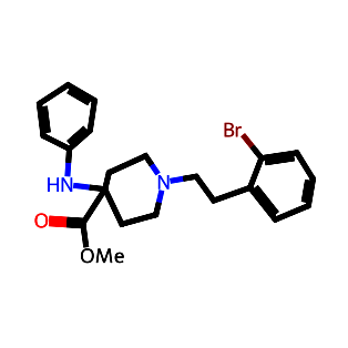 COC(=O)C1(Nc2ccccc2)CCN(CCc2ccccc2Br)CC1